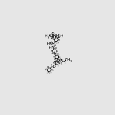 CCCCN(CC(=O)OCc1ccccc1)S(=O)(=O)c1ccc(N2CCC(NCC(O)c3ccc(O)c(NS(C)(=O)=O)c3)CC2)cc1